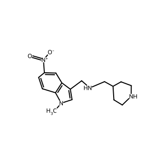 Cn1cc(CNCC2CCNCC2)c2cc([N+](=O)[O-])ccc21